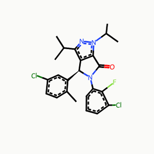 Cc1ccc(Cl)cc1[C@H]1c2c(C(C)C)nn(C(C)C)c2C(=O)N1c1cccc(Cl)c1F